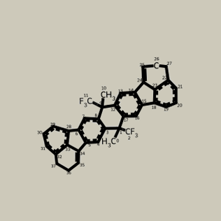 CC1(C(F)(F)F)c2cc3c(cc2C(C)(C(F)(F)F)c2cc4c(cc21)-c1cccc2c1C4=CCC2)-c1cccc2c1C3=CCC2